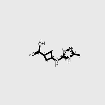 Cc1nnc(NC2CC(C(=O)O)C2)[nH]1